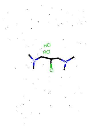 CN(C)CC(Cl)CN(C)C.Cl.Cl